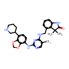 CC1(C)C(=O)Nc2cccc(CNc3nc(Nc4ccc(C5CCCNC5)c5c4OCO5)ncc3C(F)(F)F)c21